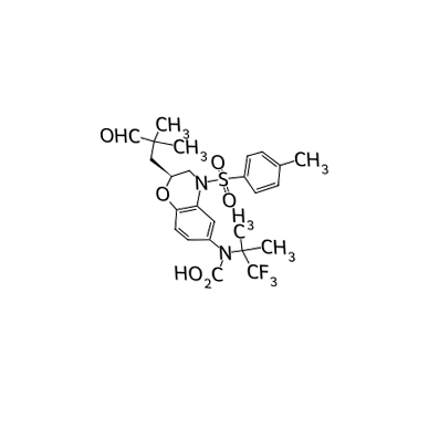 Cc1ccc(S(=O)(=O)N2C[C@H](CC(C)(C)C=O)Oc3ccc(N(C(=O)O)C(C)(C)C(F)(F)F)cc32)cc1